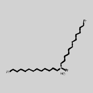 CC(C)CCCCCCCCCCCCN(CCCCCCCCCCCCC(C)C)C(C)C.Cl